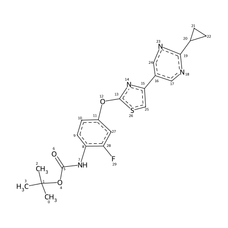 CC(C)(C)OC(=O)Nc1ccc(Oc2nc(-c3cnc(C4CC4)nc3)cs2)cc1F